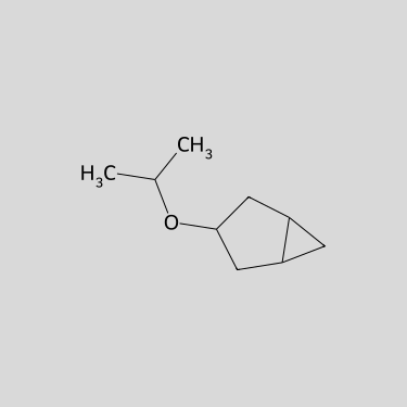 CC(C)OC1CC2CC2C1